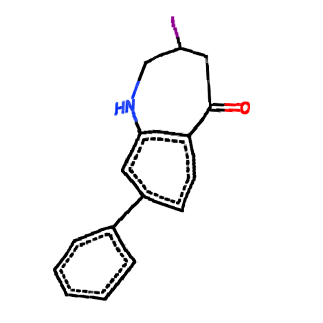 O=C1CC(I)CNc2cc(-c3ccccc3)ccc21